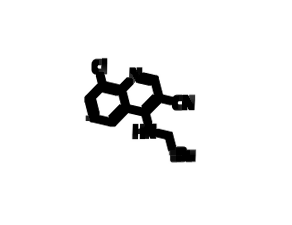 CC(C)(C)CNc1c(C#N)cnc2c(Cl)c[c]cc12